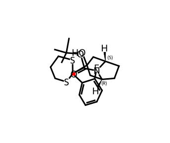 CC(C)(C)OC(=O)N1[C@@H]2CC[C@H]1CC(O)(C1(c3ccccc3F)SCCCS1)C2